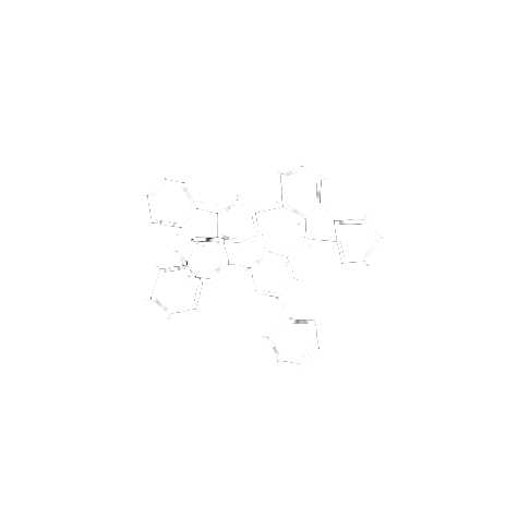 c1ccc(-c2nc(-c3ccccc3)nc(-n3c4ccccc4c4cccc(-c5cc6c7ccccc7n(-c7ccccc7)c6cn5)c43)n2)cc1